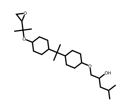 CC(C)CC(O)COC1CCC(C(C)(C)C2CCC(OC(C)(C)C3CO3)CC2)CC1